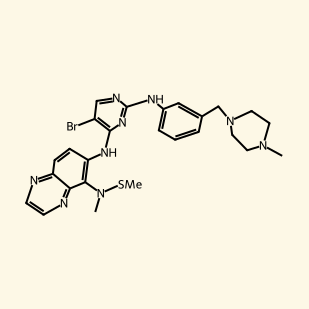 CSN(C)c1c(Nc2nc(Nc3cccc(CN4CCN(C)CC4)c3)ncc2Br)ccc2nccnc12